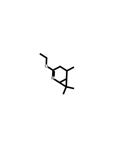 CCOC1=NC2C(C(C)C1)C2(C)C